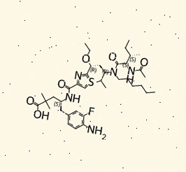 CCCCCCN(C(=O)[C@@H](NC(C)=O)[C@@H](C)CC)[C@H](C[C@@H](OCC)c1nc(C(=O)N[C@@H](Cc2ccc(N)c(F)c2)CC(C)(C)C(=O)O)cs1)C(C)C